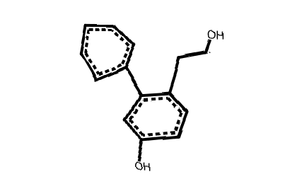 O[CH]Cc1ccc(O)cc1-c1ccccc1